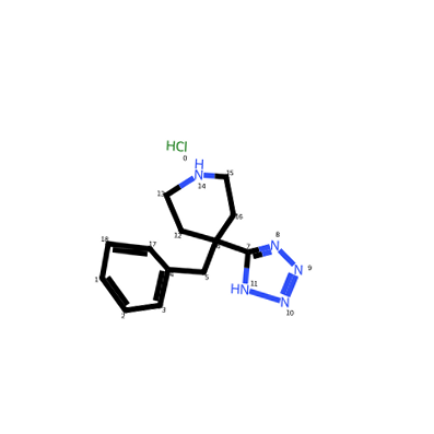 Cl.c1ccc(CC2(c3nnn[nH]3)CCNCC2)cc1